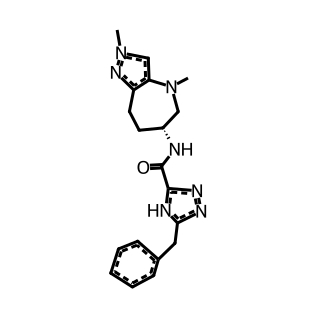 CN1C[C@H](NC(=O)c2nnc(Cc3ccccc3)[nH]2)CCc2nn(C)cc21